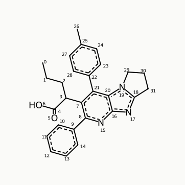 CCCC(C(=O)O)c1c(-c2ccccc2)nc2nc3n(c2c1-c1ccc(C)cc1)CCC3